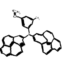 COc1cc(C)cc(N(c2cc3ccc4cccc5ccc(c2)c3c45)c2cc3ccc4cccc5ccc(c2)c3c45)c1